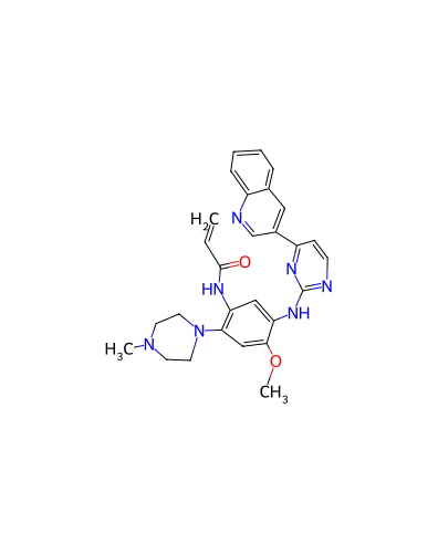 C=CC(=O)Nc1cc(Nc2nccc(-c3cnc4ccccc4c3)n2)c(OC)cc1N1CCN(C)CC1